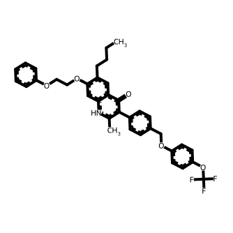 CCCCc1cc2c(=O)c(-c3ccc(COc4ccc(OC(F)(F)F)cc4)cc3)c(C)[nH]c2cc1OCCOc1ccccc1